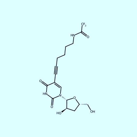 O=C(NCCCCC#Cc1cn([C@@H]2O[C@H](CO)C[C@H]2O)c(=O)[nH]c1=O)C(F)(F)F